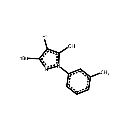 CCCCc1nn(-c2cccc(C)c2)c(O)c1CC